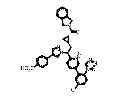 O=C(O)c1ccc(-c2cnn(C(C[C@H]3C[C@@H]3C(=O)N3Cc4ccccc4C3)c3ccc(-c4cc(Cl)ccc4-n4cnnn4)c[n+]3[O-])c2)cc1